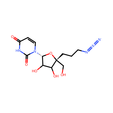 [N-]=[N+]=NCCC[C@]1(CO)O[C@@H](n2ccc(=O)[nH]c2=O)C(O)C1O